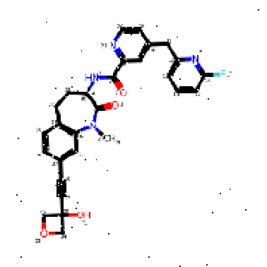 CN1C(=O)[C@H](NC(=O)c2cc(Cc3cccc(F)n3)ccn2)CCc2ccc(C#CC3(O)COC3)cc21